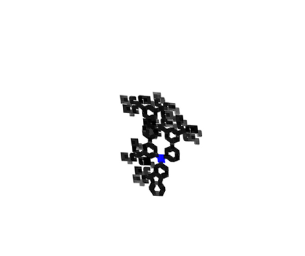 CC(C)(C)c1cc(-c2ccc(-c3cc(C(C)(C)C)cc(C(C)(C)C)c3)cc2)cc(N(c2cccc(-c3cc(C(C)(C)C)cc(C(C)(C)C)c3)c2)c2ccc3c(c2)C(C)(C)c2ccccc2-3)c1